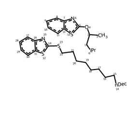 CC(C)CC(C)Oc1nc2ccccc2s1.CCCCCCCCCCCCCCCCCCSc1nc2ccccc2s1